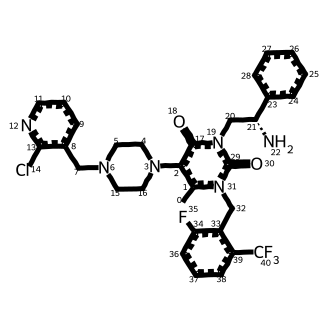 Cc1c(N2CCN(Cc3cccnc3Cl)CC2)c(=O)n(C[C@@H](N)c2ccccc2)c(=O)n1Cc1c(F)cccc1C(F)(F)F